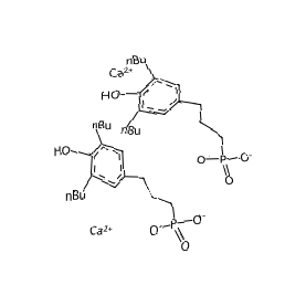 CCCCc1cc(CCCP(=O)([O-])[O-])cc(CCCC)c1O.CCCCc1cc(CCCP(=O)([O-])[O-])cc(CCCC)c1O.[Ca+2].[Ca+2]